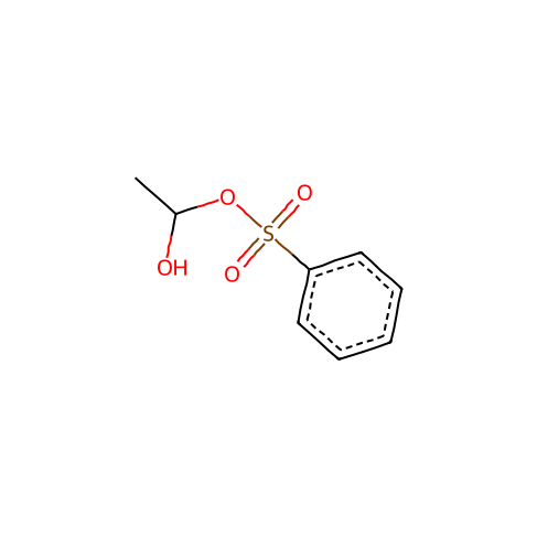 CC(O)OS(=O)(=O)c1ccccc1